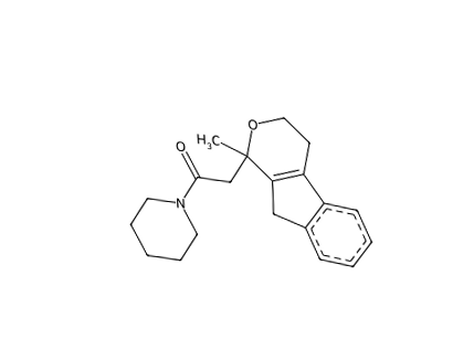 CC1(CC(=O)N2CCCCC2)OCCC2=C1Cc1ccccc12